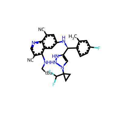 Cc1cc(F)ccc1[C@H](Nc1cc(C#N)c2ncc(C#N)c(NCC(C)(C)C)c2c1)C1=CN(C2(C(F)F)CC2)NN1